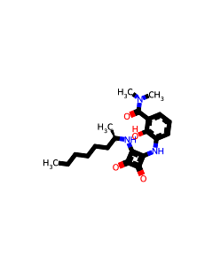 CCCCCC[C@@H](C)Nc1c(Nc2cccc(C(=O)N(C)C)c2O)c(=O)c1=O